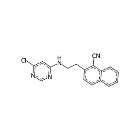 N#Cc1c(CCNc2cc(Cl)ncn2)ccc2ccccc12